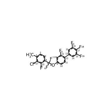 Cc1ccc(C(F)(F)Oc2ccc(-c3cc(F)c(F)c(F)c3)c(F)c2)c(F)c1Cl